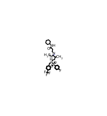 C=C(CCN(Cc1ccc(C(F)(F)F)cc1)S(=O)(=O)c1ccc(F)cc1)/C(=N/CCC(=O)NC1CCCCC1)NC